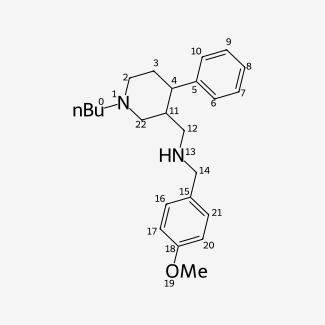 CCCCN1CCC(c2ccccc2)C(CNCc2ccc(OC)cc2)C1